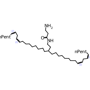 CCCCC/C=C\C/C=C\CCCCCCCCC(CCCCCCCC/C=C\C/C=C\CCCCC)CCNC(=O)CCN